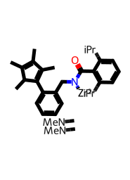 CC1=C(C)C(C)C(c2ccccc2C[N]([Zr+2])C(=O)c2c(C(C)C)cccc2C(C)C)=C1C.C[N-]C.C[N-]C